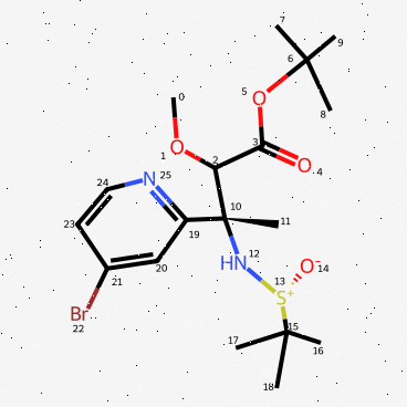 COC(C(=O)OC(C)(C)C)[C@](C)(N[S@+]([O-])C(C)(C)C)c1cc(Br)ccn1